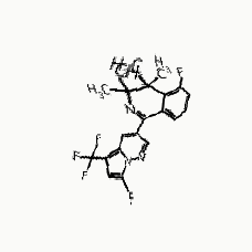 CC1(C)N=C(c2cnn3c(F)cc(C(F)(F)F)c3c2)c2cccc(F)c2C1(C)C